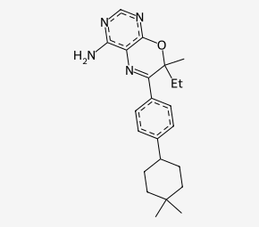 CCC1(C)Oc2ncnc(N)c2N=C1c1ccc(C2CCC(C)(C)CC2)cc1